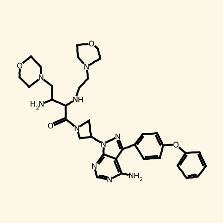 Nc1ncnc2c1c(-c1ccc(Oc3ccccc3)cc1)nn2C1CN(C(=O)C(NCCN2CCOCC2)C(N)CN2CCOCC2)C1